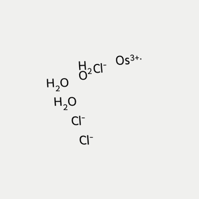 O.O.O.[Cl-].[Cl-].[Cl-].[Os+3]